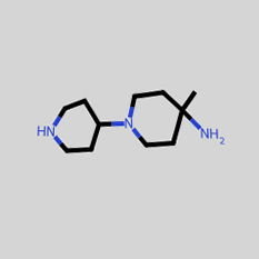 CC1(N)CCN(C2CCNCC2)CC1